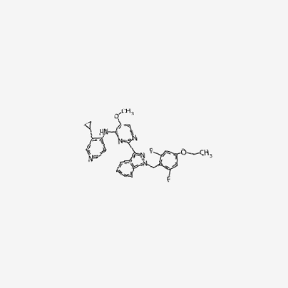 CCOc1cc(F)c(Cn2nc(-c3ncc(OC)c(Nc4ccncc4C4CC4)n3)c3ccccc32)c(F)c1